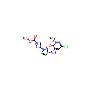 Cn1nc(Cl)cc(Nc2ccn(C3CN(C(=O)OC(C)(C)C)C3)n2)c1=O